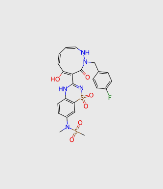 CN(c1ccc2c(c1)S(=O)(=O)N=C(c1c(O)cccc[nH]n(Cc3ccc(F)cc3)c1=O)N2)S(C)(=O)=O